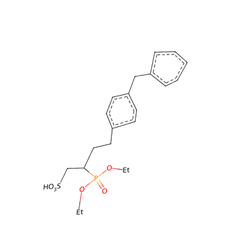 CCOP(=O)(OCC)C(CCc1ccc(Cc2ccccc2)cc1)CS(=O)(=O)O